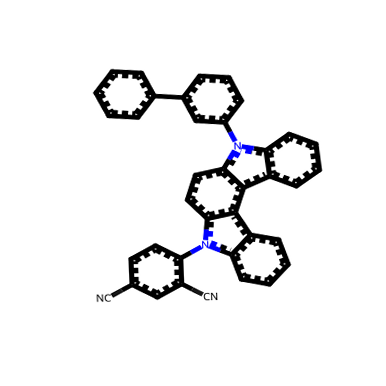 N#Cc1ccc(-n2c3ccccc3c3c4c5ccccc5n(-c5cccc(-c6ccccc6)c5)c4ccc32)c(C#N)c1